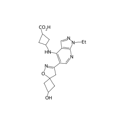 CCn1ncc2c(NC3CC(C(=O)O)C3)c(C3=NOC4(C3)CC(O)C4)cnc21